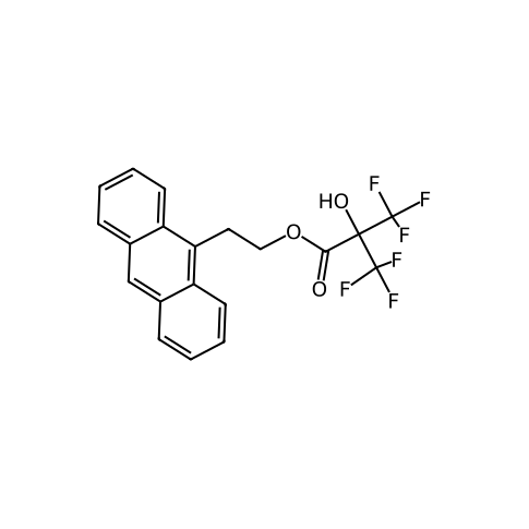 O=C(OCCc1c2ccccc2cc2ccccc12)C(O)(C(F)(F)F)C(F)(F)F